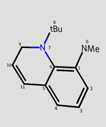 CNc1cccc2c1N(C(C)(C)C)CC=C2